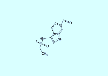 CCS(=O)(=O)Nc1c[nH]c2cc(C=O)ccc12